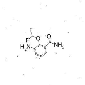 NC(=O)c1cccc(N)c1OC(F)F